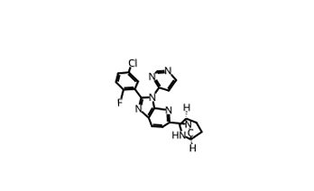 Fc1ccc(Cl)cc1-c1nc2ccc(N3C[C@H]4CC[C@@H]3CN4)nc2n1-c1ccncn1